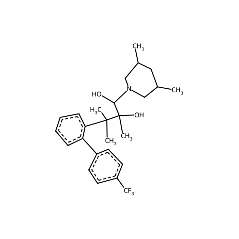 CC1CC(C)CN(C(O)C(C)(O)C(C)(C)c2ccccc2-c2ccc(C(F)(F)F)cc2)C1